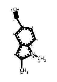 C#Cc1ccc2c(c1)cc(C)n2C